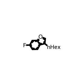 [CH2]CCCCCc1coc2cc(F)ccc12